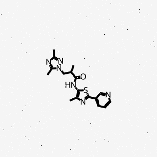 Cc1nc(C)n(CC(C)C(=O)Nc2sc(-c3cccnc3)nc2C)n1